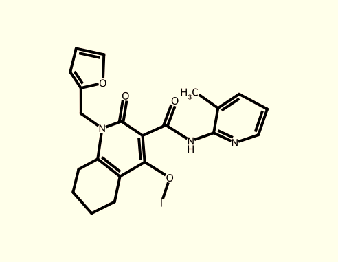 Cc1cccnc1NC(=O)c1c(OI)c2c(n(Cc3ccco3)c1=O)CCCC2